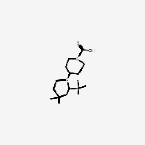 CC1(C)CCN(C2CCN(C(=O)O)CC2)C(C(C)(C)C)C1